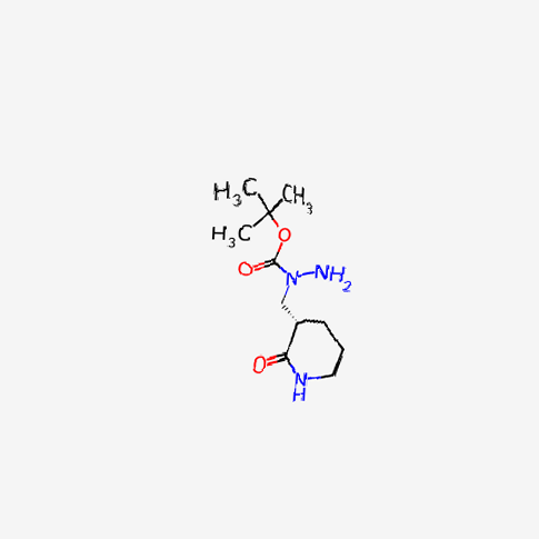 CC(C)(C)OC(=O)N(N)C[C@@H]1CCCNC1=O